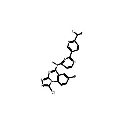 CN(c1ccnc(-c2ccc(C(F)F)nc2)n1)c1nc2nnc(Cl)n2c2ccc(F)cc12